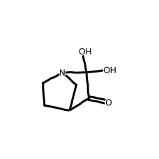 O=C1C2CCN(C2)C1(O)O